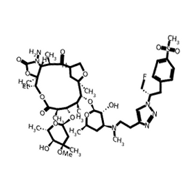 CC[C@H]1OC(=O)[C@H](C)[C@@H](O[C@H]2C[C@@](C)(OC)[C@@H](O)[C@H](C)O2)[C@H](C)[C@@H](O[C@@H]2O[C@H](C)C[C@H](N(C)CCc3cn([C@H](CF)Cc4ccc(S(C)(=O)=O)cc4)nn3)[C@H]2O)[C@@]2(C)C[C@@H](CO2)C(=O)[C@H](C)[C@H]2N(N)C(=O)O[C@]12C